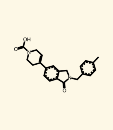 Cc1ccc(CN2Cc3cc(C4=CCN(C(=O)O)CC4)ccc3C2=O)cc1